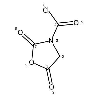 O=C1CN(C(=O)Cl)C(=O)O1